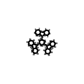 c1ccc2c(c1)c1cccnc1n2-c1cc(-n2c3cccnc3c3ncccc32)nc(-n2c3ccccc3c3cccnc32)n1